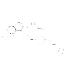 COc1ccc2ncc(Cl)c(CCC[C@@H]3CCN(CCSC4CCC4)C[C@H]3CC(=O)O)c2c1